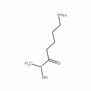 CCCCCCCCCCC(=O)N(C)CCC